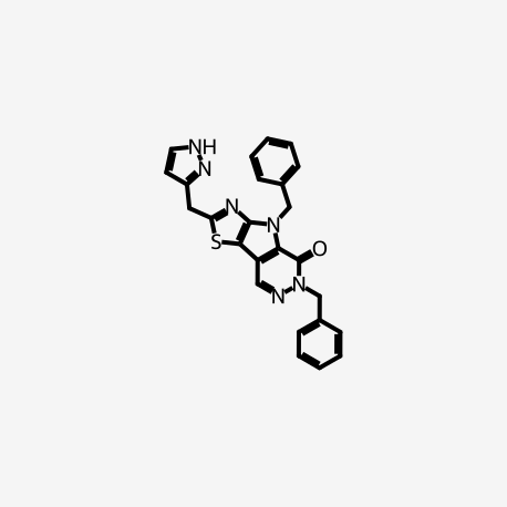 O=c1c2c(cnn1Cc1ccccc1)c1sc(Cc3cc[nH]n3)nc1n2Cc1ccccc1